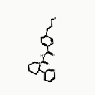 O=C(NC(=S)N1CCCCC1c1cccnc1)c1ccc(CCCF)cc1